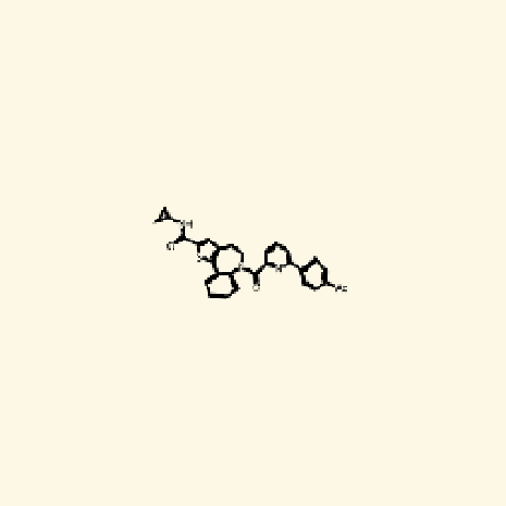 CC(=O)c1ccc(-c2cccc(C(=O)N3CCc4cc(C(=O)NC5CC5)sc4-c4ccccc43)n2)cc1